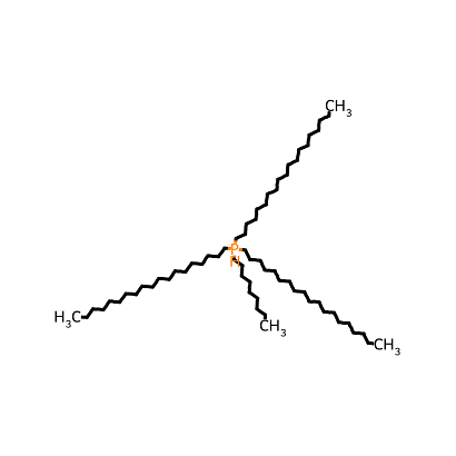 CCCCCCCCCCCCCCCCCCC[PH](CCCCCCCCC)(CCCCCCCCCCCCCCCCCCC)CCCCCCCCCCCCCCCCCCC